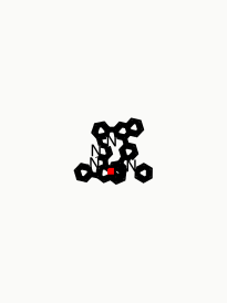 c1ccc(-n2c3ccccc3c3cc(-c4c5ccccc5cc5c6cccc7c8nc9c(cc8n(c45)c67)c4c5ccccc5cc5c6ccccc6n9c54)ccc32)cc1